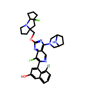 Oc1cc(-c2ncc3c(N4CC5CCC(C4)N5)nc(OCC45CCCN4C4CCCC4(F)C5)nc3c2F)c2c(Cl)cccc2c1